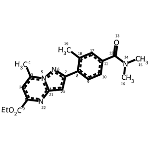 CCOC(=O)c1cc(C)n2nc(-c3ccc(C(=O)N(C)C)cc3C)cc2n1